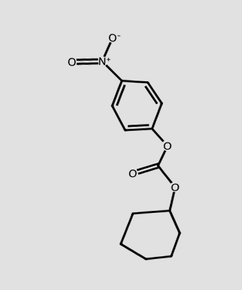 O=C(Oc1ccc([N+](=O)[O-])cc1)OC1CCCCC1